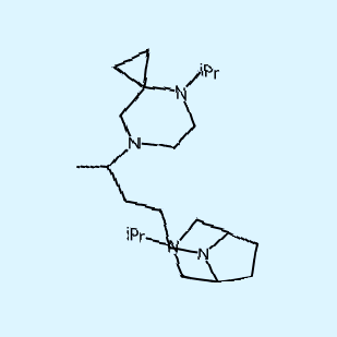 CC(C)N1CC2CCC(C1)N2CCCC(C)N1CCN(C(C)C)C2(CC2)C1